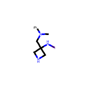 CC(C)N(C)CC1(NI)CNC1